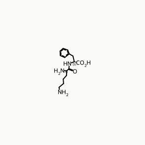 NCCCC[C@@H](N)C(=O)N[C@@H](Cc1ccccc1)C(=O)O